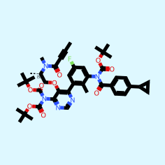 CC#CC(=O)N(C)[C@@H](C)COc1c(-c2cc(F)cc(N(C(=O)OC(C)(C)C)C(=O)c3ccc(C4CC4)cc3)c2C)ncnc1N(C(=O)OC(C)(C)C)C(=O)OC(C)(C)C